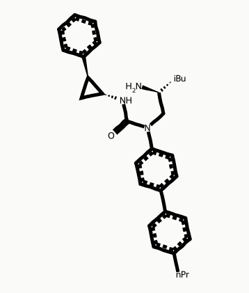 CCCc1ccc(-c2ccc(N(C[C@@H](N)[C@@H](C)CC)C(=O)N[C@@H]3C[C@H]3c3ccccc3)cc2)cc1